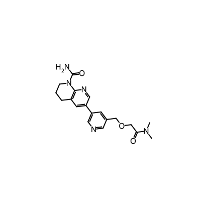 CN(C)C(=O)COCc1cncc(-c2cnc3c(c2)CCCN3C(N)=O)c1